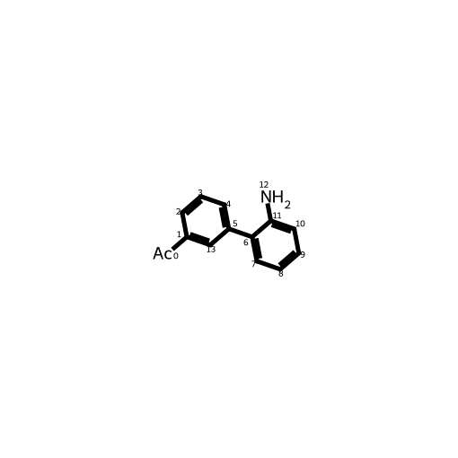 CC(=O)c1cccc(-c2ccccc2N)c1